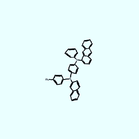 CCC(C)c1ccc(N(c2ccc(N(c3ccccc3)c3cccc4cc5ccccc5cc34)cc2)c2ccc3ccccc3c2)cc1